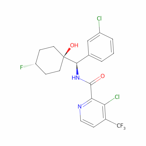 O=C(N[C@H](c1cccc(Cl)c1)[C@]1(O)CC[C@H](F)CC1)c1nccc(C(F)(F)F)c1Cl